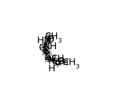 CCOc1cccc([C@@H](C)NC2CC[C@H](c3ccc(C(=O)NCCNC(C)=O)cc3)C2)c1